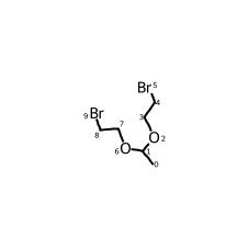 CC(OCCBr)OCCBr